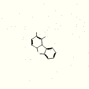 NC1=C(F)C=CC2Sc3ccccc3C12